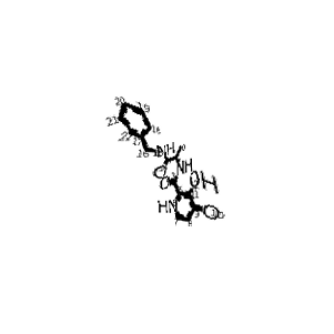 CC(NC(=O)c1[nH]ccc(=O)c1O)C(=O)NCc1ccccc1